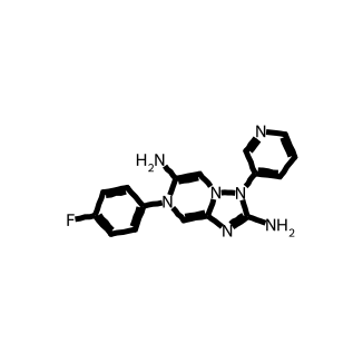 NC1=CN2C(=CN1c1ccc(F)cc1)N=C(N)N2c1cccnc1